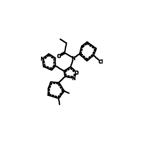 CCC(=O)N(c1cccc(Cl)c1)c1onc(-c2cccc(C)c2C)c1-c1ccncc1